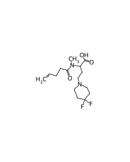 C=CCCC(=O)N(C)C(CCN1CCC(F)(F)CC1)C(=O)O